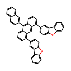 c1ccc2cc(-c3c4cccc(-c5ccc6oc7ccccc7c6c5)c4cc4c(-c5ccc6oc7ccccc7c6c5)cccc34)ccc2c1